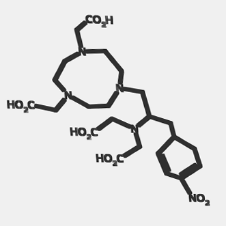 O=C(O)CN1CCN(CC(=O)O)CCN(CC(CC2C=CC([N+](=O)[O-])=CC2)N(CC(=O)O)CC(=O)O)CC1